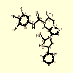 C[C@H]1Cn2ncc(N3CC(c4ccccn4)NC3O)c2CN1C(=O)Nc1cc(F)c(F)c(F)c1